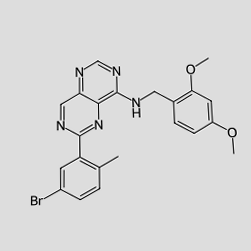 COc1ccc(CNc2ncnc3cnc(-c4cc(Br)ccc4C)nc23)c(OC)c1